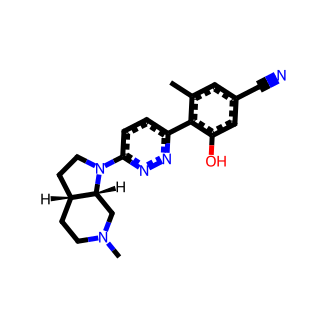 Cc1cc(C#N)cc(O)c1-c1ccc(N2CC[C@H]3CCN(C)C[C@H]32)nn1